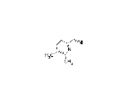 Cc1ccc(C=N)nc1C